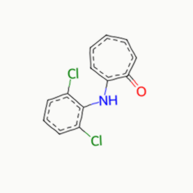 O=c1cccccc1Nc1c(Cl)cccc1Cl